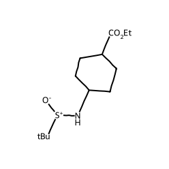 CCOC(=O)C1CCC(N[S+]([O-])C(C)(C)C)CC1